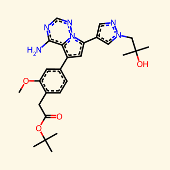 COc1cc(-c2cc(-c3cnn(CC(C)(C)O)c3)n3ncnc(N)c23)ccc1CC(=O)OC(C)(C)C